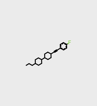 CCCC1CCC(C2CCC(C#Cc3ccc(F)cc3)CC2)CC1